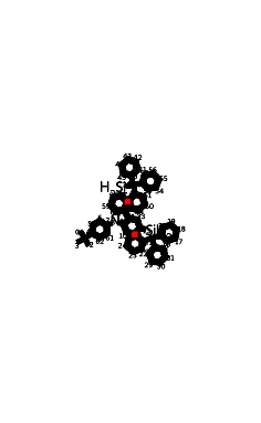 CC(C)(C)c1ccc(-n2c3ccc([SiH2]C(c4ccccc4)(c4ccccc4)c4ccccc4)cc3c3cc([SiH2]C(c4ccccc4)(c4ccccc4)c4ccccc4)ccc32)cc1